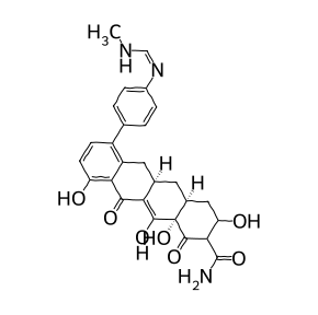 CN/C=N\c1ccc(-c2ccc(O)c3c2C[C@H]2C[C@H]4CC(O)C(C(N)=O)C(=O)[C@@]4(O)C(O)=C2C3=O)cc1